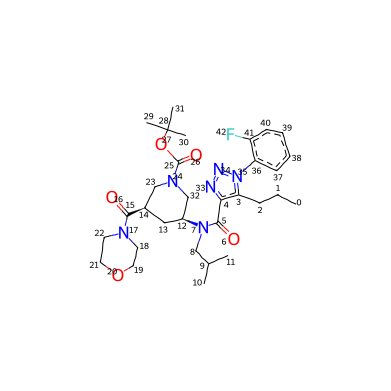 CCCc1c(C(=O)N(CC(C)C)[C@H]2C[C@@H](C(=O)N3CCOCC3)CN(C(=O)OC(C)(C)C)C2)nnn1-c1ccccc1F